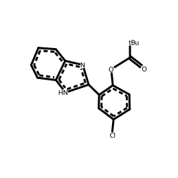 CC(C)(C)C(=O)Oc1ccc(Cl)cc1-c1nc2ccccc2[nH]1